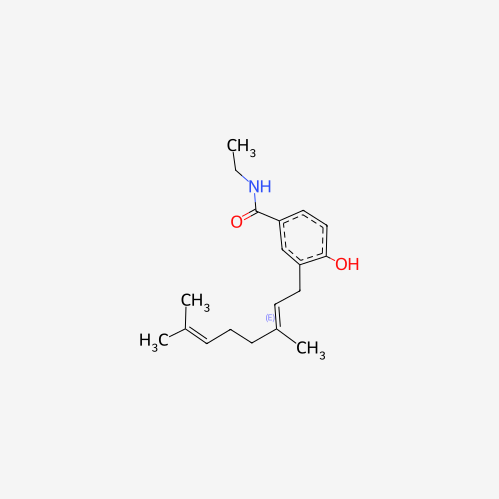 CCNC(=O)c1ccc(O)c(C/C=C(\C)CCC=C(C)C)c1